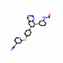 N#Cc1ccnc(Oc2ccc(-c3cc(-c4cccc(NC=O)c4)c4ncncc4c3)cc2)c1